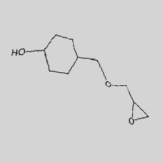 OC1CCC(COCC2CO2)CC1